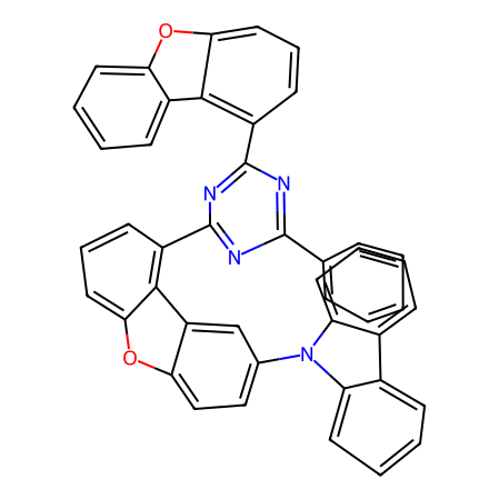 c1ccc(-c2nc(-c3cccc4oc5ccccc5c34)nc(-c3cccc4oc5ccc(-n6c7ccccc7c7ccccc76)cc5c34)n2)cc1